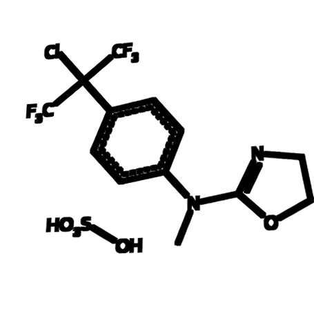 CN(C1=NCCO1)c1ccc(C(Cl)(C(F)(F)F)C(F)(F)F)cc1.O=S(=O)(O)O